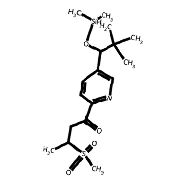 CC(CC(=O)c1ccc(C(O[SiH](C)C)C(C)(C)C)cn1)S(C)(=O)=O